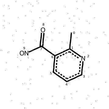 Cc1ncccc1C(=O)N=O